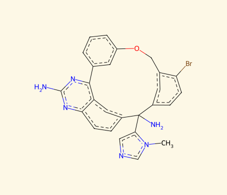 Cn1cncc1C1(N)c2ccc(Br)c(c2)COc2cccc(c2)-c2nc(N)nc3ccc1cc23